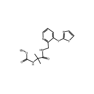 CC(C)(C)OC(=O)NC(C)(C)C(=O)NCc1ncccc1Sc1nccs1